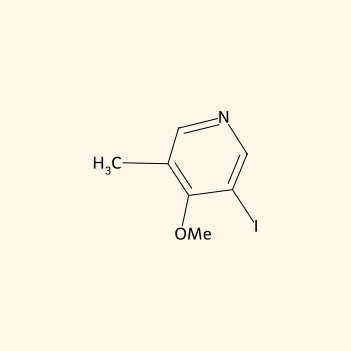 COc1c(C)cncc1I